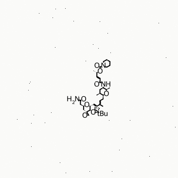 CC(C=C[C@H]1O[C@H](CC(N)=O)C[C@@]2(CO2)[C@@H]1O[Si](C)(C)C(C)(C)C)=CC[C@@H]1O[C@H](C)[C@H](NC(=O)C=C[C@H](C)OC(=O)N2CCCCC2)C[C@@H]1C